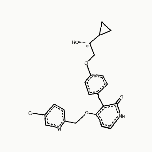 O=c1[nH]ccc(OCc2ccc(Cl)cn2)c1-c1ccc(OC[C@H](O)C2CC2)cc1